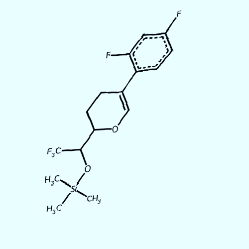 C[Si](C)(C)OC(C1CCC(c2ccc(F)cc2F)=CO1)C(F)(F)F